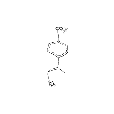 C/C(=C\[N+](=O)[O-])c1ccc(C(=O)O)cc1